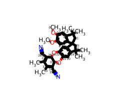 COc1cc2c(cc1OC)C1(CC2(C)C)CC(C)(C)c2cc3c(cc21)OC1C(C#N)=C(C)C(C)=C(C#N)C1O3